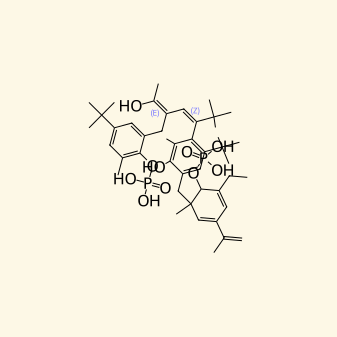 C=C(C)C1=CC(C)(Cc2cc(C(C)(C)C)c(/C(=C\C(Cc3cc(C(C)(C)C)cc(C)c3OP(=O)(O)O)=C(/C)O)C(C)(C)C)c(C)c2O)C(OP(=O)(O)O)C(CC)=C1